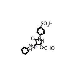 O=COC1=NN(c2ccc(S(=O)(=O)O)cc2)C(=O)/C1=N\Nc1ccccc1